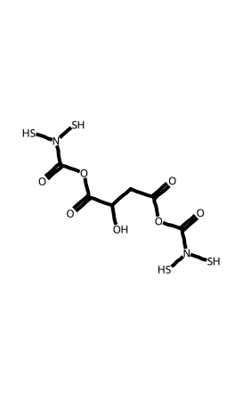 O=C(CC(O)C(=O)OC(=O)N(S)S)OC(=O)N(S)S